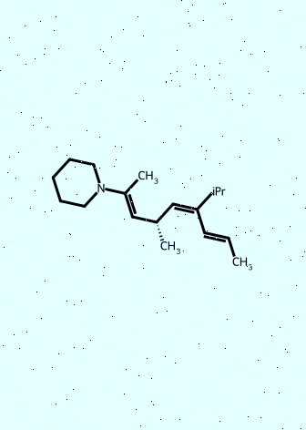 C/C=C/C(=C\[C@H](C)/C=C(\C)N1CCCCC1)C(C)C